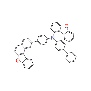 c1ccc(-c2ccc(N(c3ccc(-c4ccc5ccc6oc7ccccc7c6c5c4)cc3)c3cccc4oc5ccccc5c34)cc2)cc1